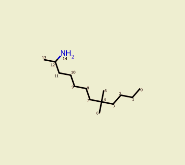 CCCCC(C)(C)CCCCCC(C)N